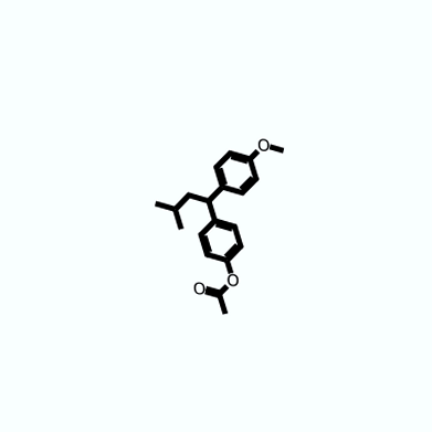 COc1ccc(C(CC(C)C)c2ccc(OC(C)=O)cc2)cc1